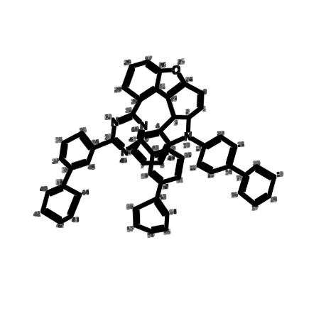 C1=CC2C(c3ccccc3N2c2ccc(-c3ccccc3)cc2)c2c1oc1cccc(-c3nc(-c4cccc(-c5ccccc5)c4)nc(-c4cccc(-c5ccccc5)c4)n3)c21